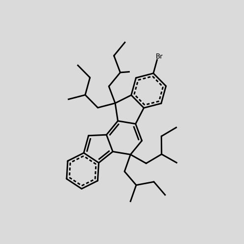 CCC(C)CC1(CC(C)CC)C=C2C(=C3C=c4ccccc4=C31)C(CC(C)CC)(CC(C)CC)c1cc(Br)ccc12